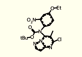 CCOc1ccc(N(C(=O)OC(C)(C)C)c2c(C)c(Cl)nc3ccnn23)c([N+](=O)[O-])c1